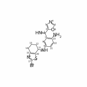 N=C(c1cnco1)c1cc(NC2CCCc3nc(Br)sc32)ccc1N